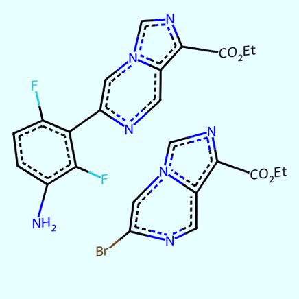 CCOC(=O)c1ncn2cc(-c3c(F)ccc(N)c3F)ncc12.CCOC(=O)c1ncn2cc(Br)ncc12